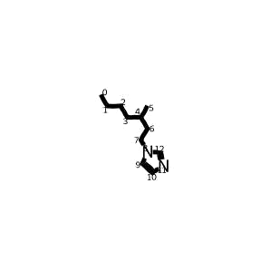 CCCCC(C)CCn1ccnc1